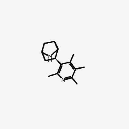 Cc1nc(C)c([C@H]2CC3CCC2N3)c(C)c1C